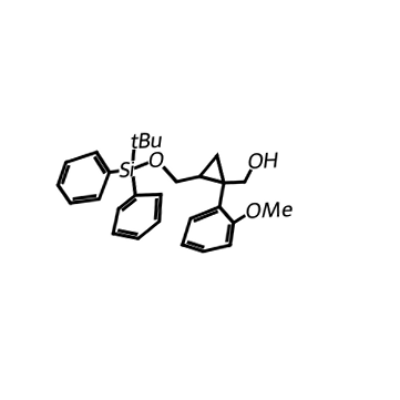 COc1ccccc1C1(CO)CC1CO[Si](c1ccccc1)(c1ccccc1)C(C)(C)C